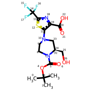 CC(C)(C)OC(=O)N1CCN(c2sc(C(F)(F)F)nc2C(=O)O)C[C@H]1CO